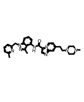 Cc1cccc(Cn2nc(C)c3c(NC(=O)c4cnc5cc(CCN6CCN(C)CC6)ccn45)cccc32)n1